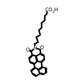 O=C(O)CCCCCCCCCCN1C(=O)c2ccc3c4cccc5cccc(c6ccc(c2c36)C1=O)c54